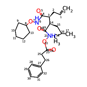 C=CC[C@H](C(=O)NOC1CCCCC1)[C@@H](CC(C)C)C(=O)NOC(=O)CCc1ccccc1